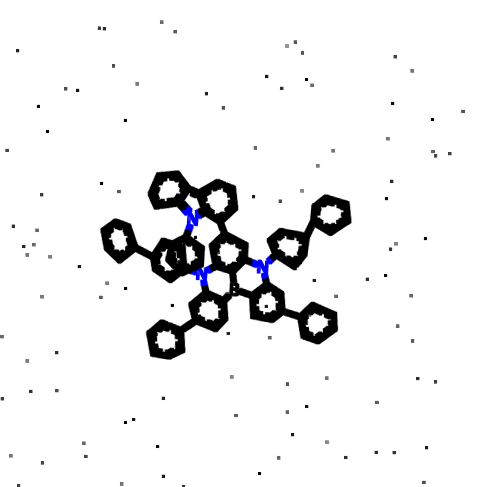 c1ccc(-c2ccc(N3c4cc(-c5ccccc5)ccc4B4c5ccc(-c6ccccc6)cc5N(c5ccc(-c6ccccc6)cc5)c5cc(-c6cccc7c8ccccc8n(-c8ccccc8)c67)cc3c54)cc2)cc1